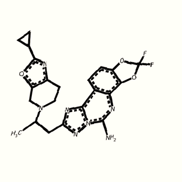 CC(Cc1nc2c3ccc4c(c3nc(N)n2n1)OC(F)(F)O4)N1CCc2nc(C3CC3)oc2C1